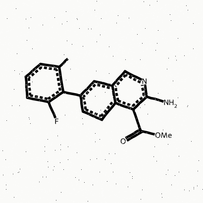 COC(=O)c1c(N)ncc2cc(-c3c(C)cccc3F)ccc12